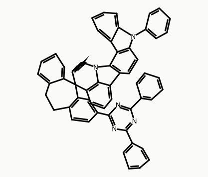 c1ccc(-c2nc(-c3ccccc3)nc(-c3ccc4c(c3)C3(c5ccccc5CC4)c4ccccc4-n4c5c3cccc5c3ccc5c(c6ccccc6n5-c5ccccc5)c34)n2)cc1